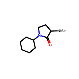 CNC1CCN(C2CCCCC2)C1=O